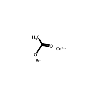 CC(=O)[O-].[Br-].[Co+2]